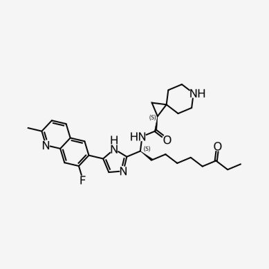 CCC(=O)CCCCC[C@H](NC(=O)[C@H]1CC12CCNCC2)c1ncc(-c2cc3ccc(C)nc3cc2F)[nH]1